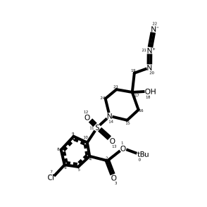 CC(C)(C)OC(=O)c1cc(Cl)ccc1S(=O)(=O)N1CCC(O)(CN=[N+]=[N-])CC1